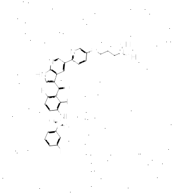 CN(C)CCCOc1ccc(-c2cnc3[nH]cc(C(=O)c4c(F)ccc(NS(=O)(=O)c5cccc(F)c5)c4F)c3c2)nc1